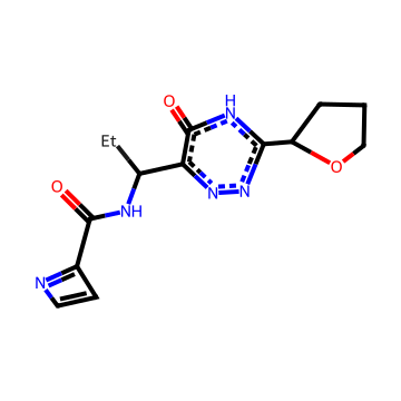 CCC(NC(=O)C1=NC=C1)c1nnc(C2CCCO2)[nH]c1=O